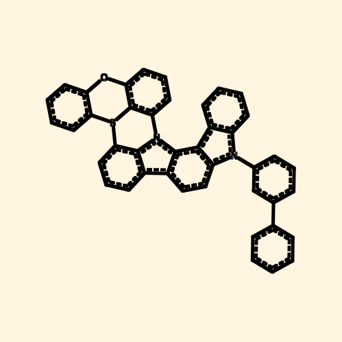 c1ccc(-c2cccc(-n3c4ccccc4c4c3ccc3c5cccc6c5n(c34)-c3cccc4c3B6c3ccccc3O4)c2)cc1